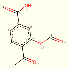 CC(=O)c1ccc(C(=O)O)cc1OC=O